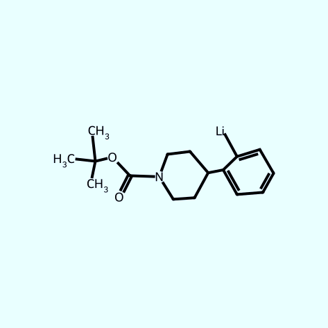 [Li][c]1ccccc1C1CCN(C(=O)OC(C)(C)C)CC1